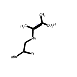 CCCCC(CC)CN/C(C)=C(/C)C(=O)O